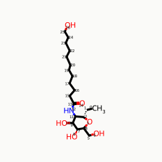 CC[C@@H]1OC(CO)[C@@H](O)C(O)C1NC(=O)CCCCCCCCCCCO